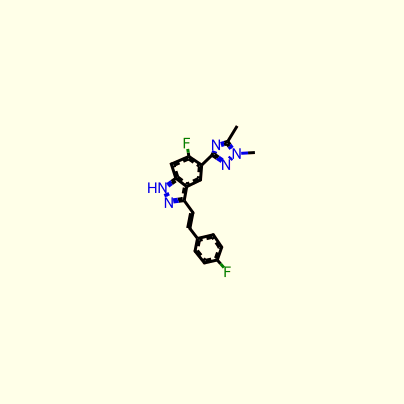 Cc1nc(-c2cc3c(C=Cc4ccc(F)cc4)n[nH]c3cc2F)nn1C